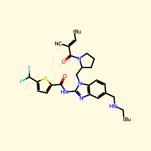 CC(C)(C)C=C(C#N)C(=O)N1CCCC1Cn1c(NC(=O)c2ccc(C(F)F)s2)nc2cc(CNCC(C)(C)C)ccc21